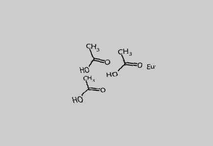 CC(=O)O.CC(=O)O.CC(=O)O.[Eu]